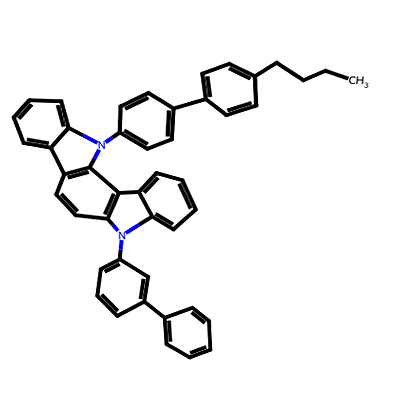 CCCCc1ccc(-c2ccc(-n3c4ccccc4c4ccc5c(c6ccccc6n5-c5cccc(-c6ccccc6)c5)c43)cc2)cc1